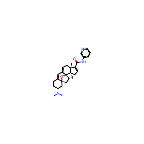 CN(C)[C@@H]1CCC2=CC3=CC[C@]4(C)C(C(=O)Nc5cccnc5)=CC[C@H]4[C@@]34CC[C@]2(C1)O4